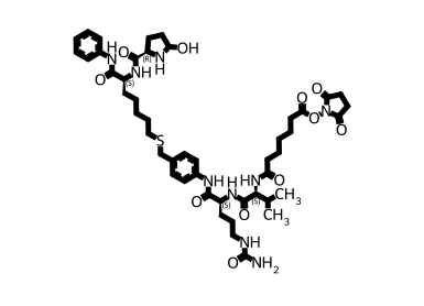 CC(C)[C@H](NC(=O)CCCCCC(=O)ON1C(=O)CCC1=O)C(=O)N[C@@H](CCCNC(N)=O)C(=O)Nc1ccc(CSCCCCC[C@H](NC(=O)[C@H]2CCC(O)N2)C(=O)Nc2ccccc2)cc1